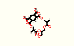 C=C(C)C(=O)OCC(CO)OC(=O)C(=C)C.O=c1oc(=O)c2cc3c(=O)oc(=O)c3cc12